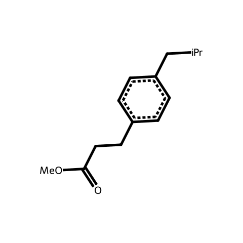 COC(=O)CCc1ccc(CC(C)C)cc1